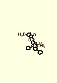 Bc1ccc2c(c1)C(=O)/C(=C\c1ccc3c(c1)C(C)(C)c1cc(-c4ccccc4)ccc1N3c1ccccc1)C2=O